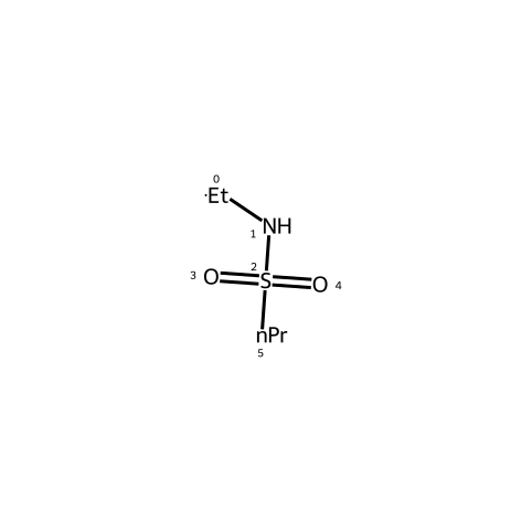 C[CH]NS(=O)(=O)CCC